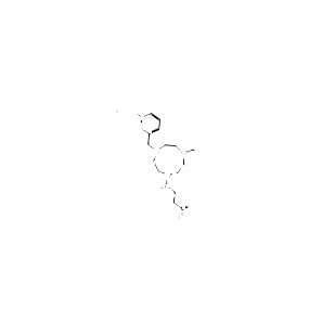 NC(=O)CCC(C(=O)O)N1CCN(CC(=O)O)CCN(Cc2cccc(C(=O)O)n2)CC1